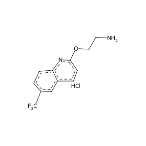 Cl.NCCOc1ccc2cc(C(F)(F)F)ccc2n1